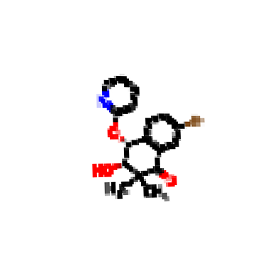 CC1(C)C(=O)c2cc(Br)ccc2[C@@H](Oc2ccccn2)[C@@H]1O